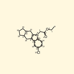 CCOC(=O)Cn1c2c(c3cc(Cl)ccc31)CC1CCCN1C2